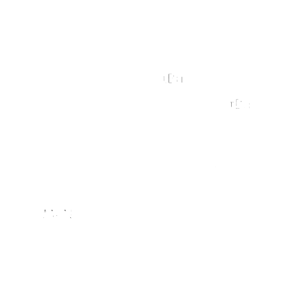 C=C(CCCCNC)C(CC(C)(C)C)C(C)(C)C